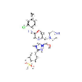 CCc1c(N2CCNCC2)c(=O)n2nc(-c3ccc(S(C)(=O)=O)cc3)nc2n1CC(=O)Nc1ccc(C(F)(F)F)cc1Cl